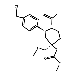 C=C(C)[C@@H]1CC[C@@](COC)(CC(=O)OC)C[C@H]1c1ccc(CO)cc1